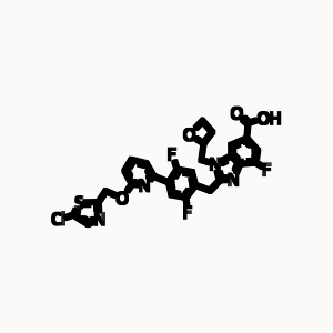 O=C(O)c1cc(F)c2nc(Cc3cc(F)c(-c4cccc(OCc5ncc(Cl)s5)n4)cc3F)n(CC3CCO3)c2c1